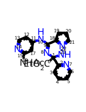 CCOC(=O)C1(c2ccccn2)N=C(Nc2ccnc(NC(C)=O)c2)c2cccn2N1